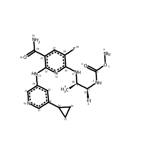 CC[C@H](NC(=O)OC(C)(C)C)[C@@H](C)Nc1nc(Nc2cncc(C3CC3)c2)c(C(N)=O)cc1F